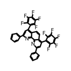 Fc1c(F)c(F)c(-c2cc(-c3ccccc3)nc3c2ccc2c(-c4c(F)c(F)c(F)c(F)c4F)cc(-c4ccccc4)nc23)c(F)c1F